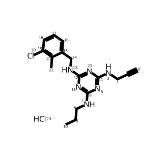 C#CCNc1nc(NCCC)nc(NCc2cccc(Cl)c2C)n1.Cl